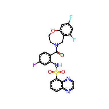 O=C(c1ccc(I)cc1NS(=O)(=O)c1cccc2nccnc12)N1CCOc2cc(F)cc(F)c2C1